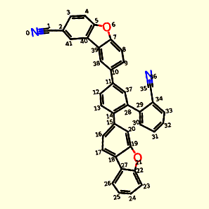 N#Cc1ccc2oc3ccc(-c4ccc(-c5ccc6c(c5)oc5ccccc56)c(-c5ccccc5C#N)c4)cc3c2c1